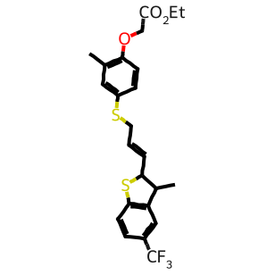 CCOC(=O)COc1ccc(SC/C=C/C2Sc3ccc(C(F)(F)F)cc3C2C)cc1C